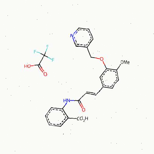 COc1ccc(/C=C/C(=O)Nc2ccccc2C(=O)O)cc1OCc1cccnc1.O=C(O)C(F)(F)F